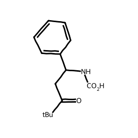 CC(C)(C)C(=O)CC(NC(=O)O)c1ccccc1